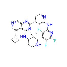 CC1(C)CNCCC1Nc1nc(C2C=C(Nc3nc(F)c(F)cc3F)N=CC2)nc2cncc(C3CCC3)c12